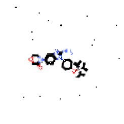 CC(C)[Si](O[C@H]1CC[C@H](n2c(N)nc3cc(N4CCOCC4=O)ccc32)CC1)(C(C)C)C(C)C